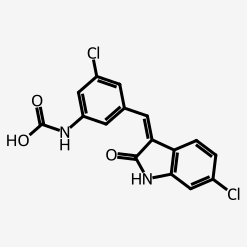 O=C(O)Nc1cc(Cl)cc(C=C2C(=O)Nc3cc(Cl)ccc32)c1